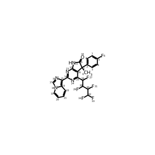 CC1(c2ccc(F)cc2)C(=O)Nc2nc(-c3ncn4ccccc34)nc(C(F)C(F)C(F)C(F)F)c21